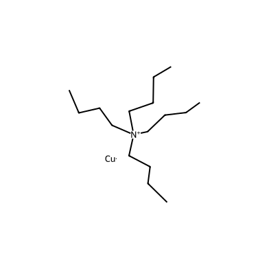 CCCC[N+](CCCC)(CCCC)CCCC.[Cu]